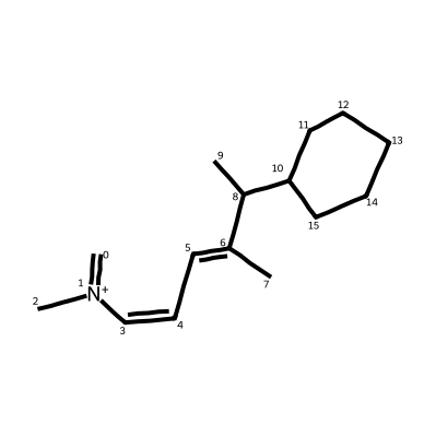 C=[N+](C)/C=C\C=C(/C)C(C)C1CCCCC1